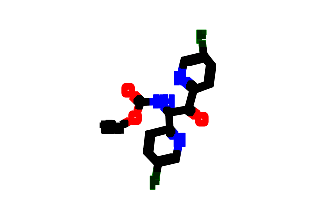 CC(C)(C)OC(=O)NC(C(=O)c1ccc(F)cn1)c1ccc(F)cn1